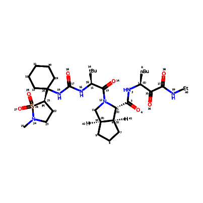 CCCC[C@H](NC(=O)[C@@H]1[C@H]2CCC[C@H]2CN1C(=O)[C@@H](NC(=O)NC1([C@H]2CCN(C)S2(=O)=O)CCCCC1)C(C)(C)C)C(=O)C(=O)NCC